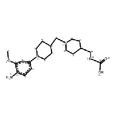 COc1cc(N2CCC(CN3CCC(CNC(=O)O)CC3)CC2)ccc1N